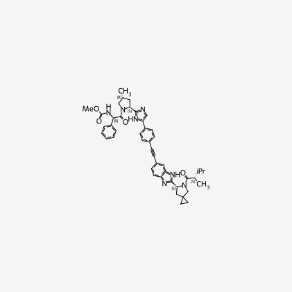 COC(=O)N[C@@H](C(=O)N1C[C@H](C)C[C@H]1c1ncc(-c2ccc(C#Cc3ccc4nc([C@@H]5CC6(CC6)CN5C(=O)[C@@H](C)C(C)C)[nH]c4c3)cc2)[nH]1)c1ccccc1